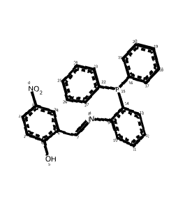 O=[N+]([O-])c1ccc(O)c(/C=N/c2ccccc2P(c2ccccc2)c2ccccc2)c1